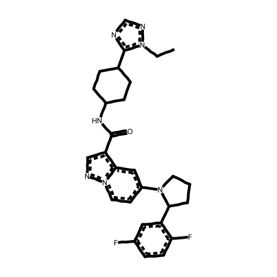 CCn1ncnc1C1CCC(NC(=O)c2cnn3ccc(N4CCCC4c4cc(F)ccc4F)cc23)CC1